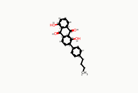 CCCCc1ccc(-c2ccc3c(c2O)C(=O)c2cccc(O)c2C3=O)cc1